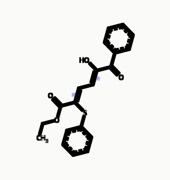 CCOC(=O)/C(=C/C=C(\O)C(=O)c1ccccc1)Sc1ccccc1